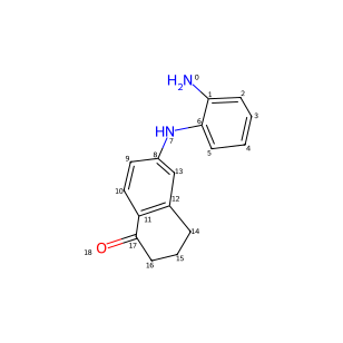 Nc1ccccc1Nc1ccc2c(c1)CCCC2=O